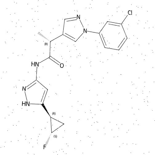 C[C@@H](C(=O)Nc1cc([C@H]2C[C@@H]2F)[nH]n1)c1cnn(-c2cccc(Cl)c2)c1